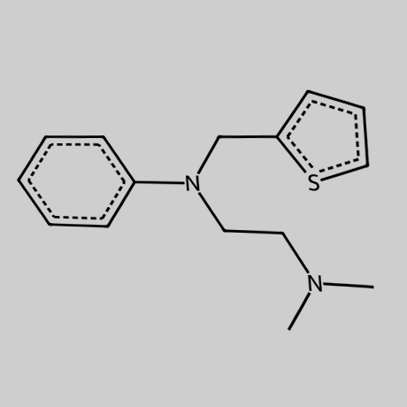 CN(C)CCN(Cc1cccs1)c1ccccc1